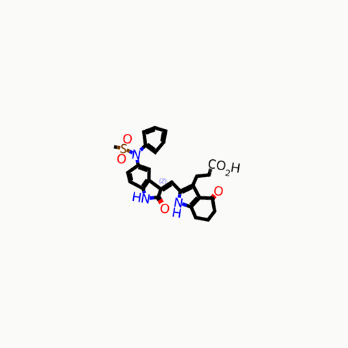 CS(=O)(=O)N(c1ccccc1)c1ccc2c(c1)/C(=C/c1[nH]c3c(c1CCC(=O)O)C(=O)CCC3)C(=O)N2